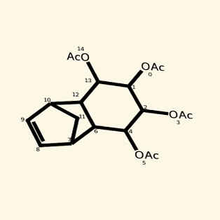 CC(=O)OC1C(OC(C)=O)C(OC(C)=O)C2C3C=CC(C3)C2C1OC(C)=O